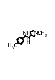 Cc1ccc(C(=N)NC2CCN(C)C2)cc1